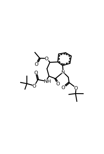 CC(=O)OC1CC(NC(=O)OC(C)(C)C)C(=O)N(CC(=O)OC(C)(C)C)c2ccccc21